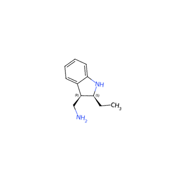 CC[C@@H]1Nc2ccccc2[C@@H]1CN